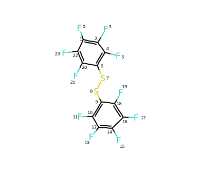 Fc1c(F)c(F)c(SSc2c(F)c(F)c(F)c(F)c2F)c(F)c1F